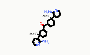 COC1(c2cccnc2N)C=CC=C(C(=O)C2=CC=CC(OC)(c3cccnc3N)C2)C1